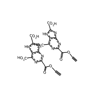 C#COC(=O)c1nc(C(=O)O)c2[nH]c(C(=O)O)nc2n1.C#COC(=O)c1nc(C(=O)O)c2[nH]c(C(=O)O)nc2n1